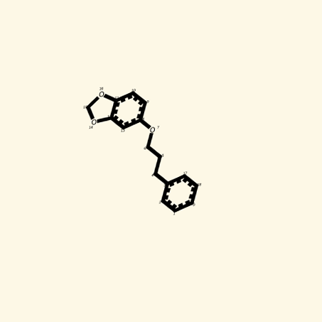 [c]1ccc(CCCOc2ccc3c(c2)OCO3)cc1